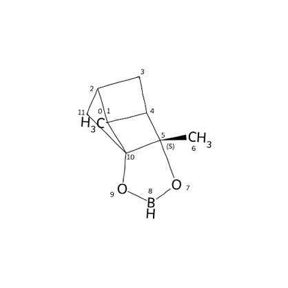 CC12C3CC1[C@]1(C)OBOC21C3